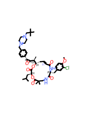 COc1ccc(C[C@H]2NC(=O)/C=C/C[C@@H]([C@H](C)[C@H]3O[C@@H]3c3ccc(CN4CCN(CC(C)(C)C)CC4)cc3)OC(=O)[C@H](CC(C)C)OC(=O)C(C)(C)CNC2=O)cc1Cl